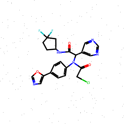 O=C(NC1CCC(F)(F)C1)C(c1cncnc1)N(C(=O)CCl)c1ccc(-c2cnco2)cc1